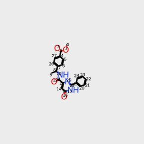 COC(=O)c1ccc(C(C)NC(=O)c2cc(=O)[nH]c(-c3ccccc3)n2)cc1